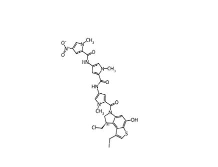 Cn1cc(NC(=O)c2cc([N+](=O)[O-])cn2C)cc1C(=O)Nc1cc(C(=O)N2C[C@H](CCl)c3c2cc(O)c2scc(CI)c32)n(C)c1